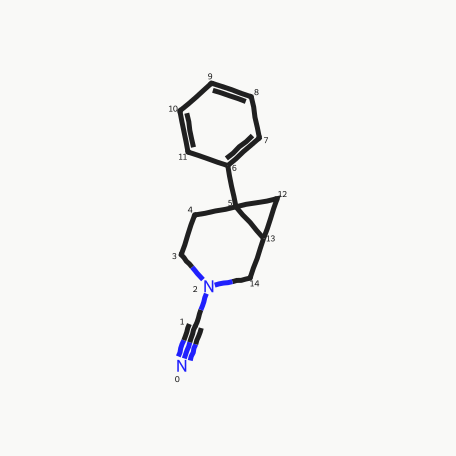 N#CN1CCC2(c3ccccc3)CC2C1